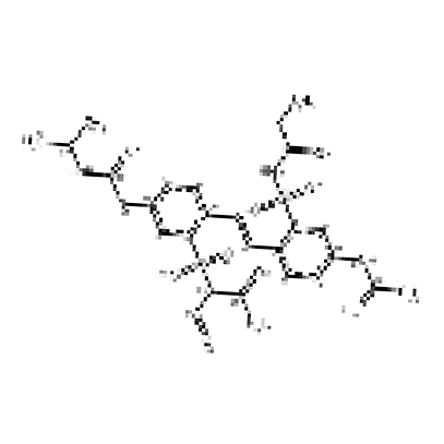 CCC(=O)NS(=O)(=O)c1cc(NC(C)=O)ccc1/C=C/c1ccc(NC(=S)NC(C)C)cc1S(=O)(=O)C([C]=O)C(N)=O